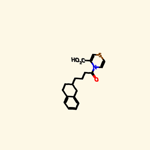 O=C(O)C1=CSC=CN1C(=O)CCCC1CCc2ccccc2C1